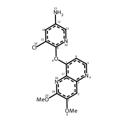 COc1cc2nccc(Oc3ncc(N)cc3Cl)c2nc1OC